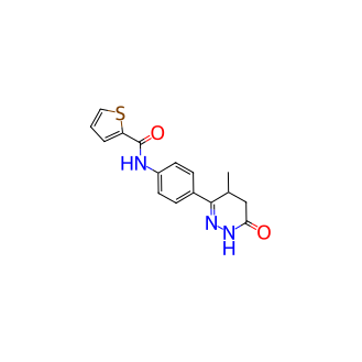 CC1CC(=O)NN=C1c1ccc(NC(=O)c2cccs2)cc1